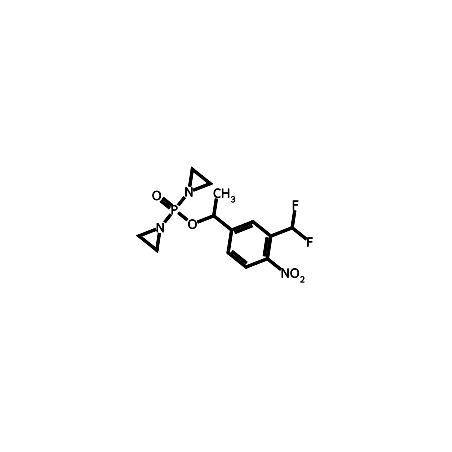 CC(OP(=O)(N1CC1)N1CC1)c1ccc([N+](=O)[O-])c(C(F)F)c1